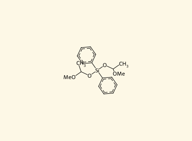 COC(C)O[Si](OC(C)OC)(c1ccccc1)c1ccccc1